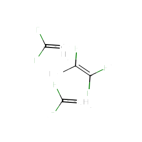 C=C(F)F.C=C(F)F.FC(F)=C(F)C(F)(F)F